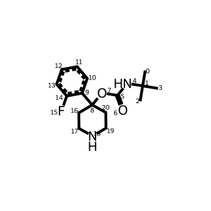 CC(C)(C)NC(=O)OC1(c2ccccc2F)CCNCC1